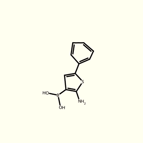 Nc1sc(-c2ccccc2)cc1B(O)O